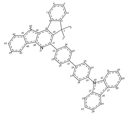 CC1(C)c2ccccc2-c2c1c(-c1ccc(-c3ccc(-n4c5ccccc5c5ccccc54)cc3)cc1)nc1c2sc2ccccc21